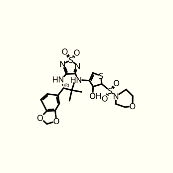 CC(C)(C)[C@@H](NC1=NS(=O)(=O)N=C1NC1=CSC(S(=O)(=O)N2CCOCC2)C1O)c1ccc2c(c1)OCO2